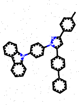 Cc1ccc(-c2cc(-c3ccc(-c4ccccc4)cc3)n(-c3ccc(-n4c5ccccc5c5ccccc54)cc3)n2)cc1